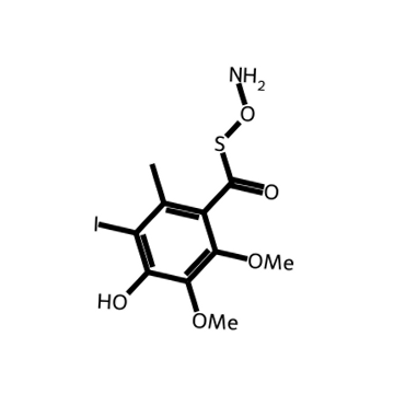 COc1c(O)c(I)c(C)c(C(=O)SON)c1OC